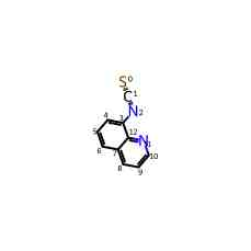 S=C=Nc1cccc2cccnc12